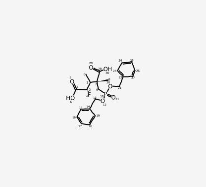 CC([C@H](F)C(=O)O)[C@@](C)(CP(=O)(OCc1ccccc1)OCc1ccccc1)C(=O)O